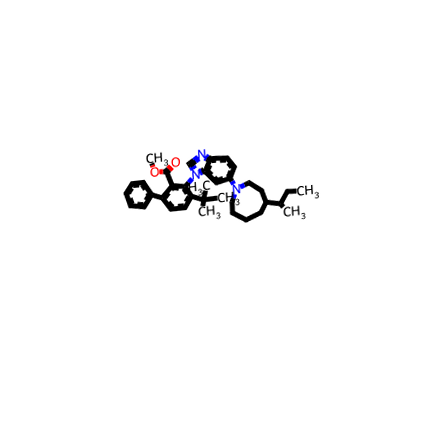 CCC(C)C1CCCCN(c2ccc3ncn(-c4c(C(C)(C)C)ccc(-c5ccccc5)c4C(=O)OC)c3c2)CC1